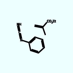 C=C(C)C(=O)OCC.N=C=Nc1ccccc1